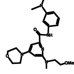 COCCN(C)c1cc(N2CCOCC2)cc(C(=O)Nc2cccc(N(C)C)c2)n1